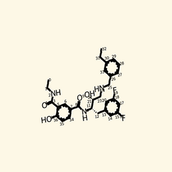 CCNC(=O)c1cc(C(=O)N[C@@H](Cc2cc(F)cc(F)c2)[C@H](O)CNCc2cccc(CC)c2)ccc1O